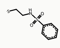 O=S(=O)(NCC[S])c1ccccc1